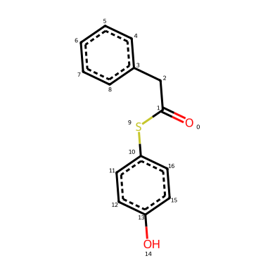 O=C(Cc1ccccc1)Sc1ccc(O)cc1